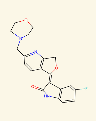 O=C1Nc2ccc(F)cc2C1=C1OCc2nc(CN3CCOCC3)ccc21